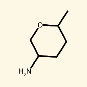 CC1CCC(N)CO1